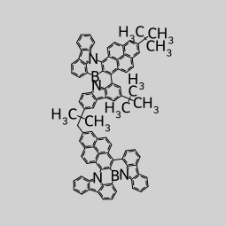 CC(C)(C)c1cc2ccc3c4c5c(c6ccc(c1)c2c36)-n1c2ccccc2c2cccc(c21)B5n1c2ccc(C(C)(C)Cc3cc5ccc6c7c8c(c9ccc(c3)c5c69)-n3c5ccccc5c5cccc(c53)B8n3c5ccccc5c5cccc-7c53)cc2c2cc(C(C)(C)C)cc-4c21